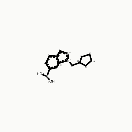 OB(O)c1ccc2cnn(CC3CCCC3)c2c1